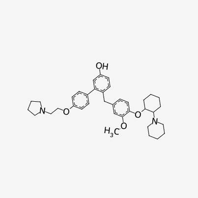 COc1cc(Cc2ccc(O)cc2-c2ccc(OCCN3CCCC3)cc2)ccc1OC1CCCCC1N1CCCCC1